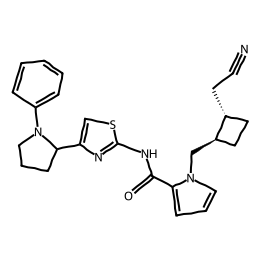 N#CC[C@@H]1CC[C@H]1Cn1cccc1C(=O)Nc1nc(C2CCCN2c2ccccc2)cs1